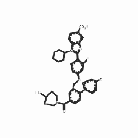 O=C(O)c1ccc2c(c1)nc(-c1ccc(OCc3cc(C(=O)N4CCC(O)CC4)ccc3-c3ccc(Cl)cc3)cc1F)n2C1CCCCC1